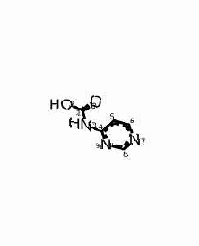 O=C(O)Nc1ccncn1